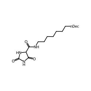 CCCCCCCCCCCCCCCCCNC(=O)C1NC(=O)NC1=O